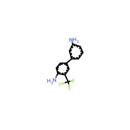 Nc1cccc(-c2ccc(N)c(C(F)(F)F)c2)c1